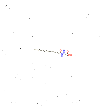 CCCCCCCCCCCCCCCC(=O)NNCC(=O)O